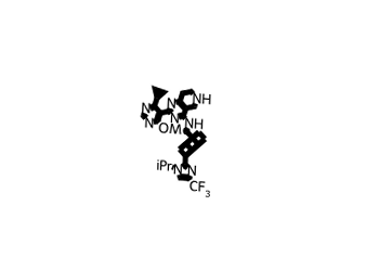 COc1ncnc(C2CC2)c1-c1nc2c(c(NCC34C5C6C3C3C4C5C63c3nc(C(F)(F)F)cn3C(C)C)n1)CNCC2